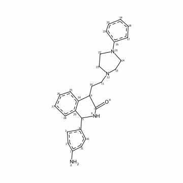 Nc1ccc(C2NC(=O)C(CCN3CCN(c4ccccc4)CC3)c3ccccc32)cc1